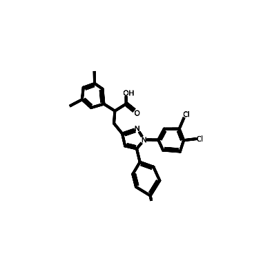 Cc1ccc(-c2cc(CC(C(=O)O)c3cc(C)cc(C)c3)nn2-c2ccc(Cl)c(Cl)c2)cc1